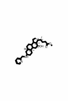 COC(=O)CC[C@@H](C)[C@H]1CCC2C3CC[C@@H]4CC(NCc5ccccn5)CC[C@]4(C)C3C[C@H](O)[C@@]21C